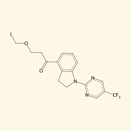 O=C(CCOCI)c1cccc2c1CCN2c1ncc(C(F)(F)F)cn1